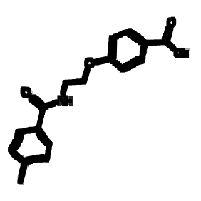 Cc1ccc(C(=O)NCCOc2ccc(C(=O)O)cc2)cc1